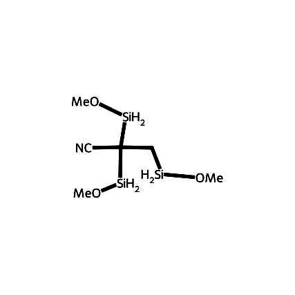 CO[SiH2]CC(C#N)([SiH2]OC)[SiH2]OC